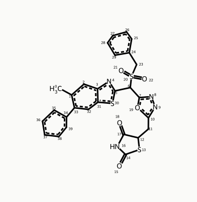 Cc1cc2nc(C(c3nnc(CC4SC(=O)NC4=O)o3)S(=O)(=O)Cc3ccccc3)sc2cc1-c1ccccc1